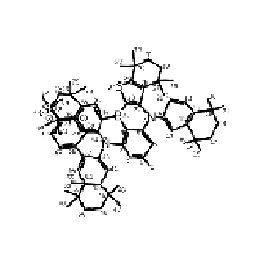 Cc1cc2c3c(c1)N(c1ccc4c(c1)C(C)(C)CCC4(C)C)c1c(sc4c1C(C)(C)CCC4(C)C)B3c1cc3c(cc1N2C1=CC2C(C)(C)CCC(C)(C)C2(C)C=C1c1ccc([Si](C)(C)C)cc1)C(C)(C)CCC3(C)C